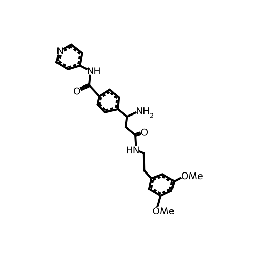 COc1cc(CCNC(=O)CC(N)c2ccc(C(=O)Nc3ccncc3)cc2)cc(OC)c1